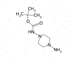 CC(C)(C)OC(=O)NN1CCN(N)CC1